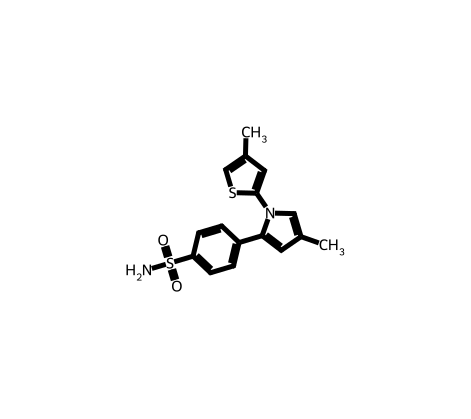 Cc1csc(-n2cc(C)cc2-c2ccc(S(N)(=O)=O)cc2)c1